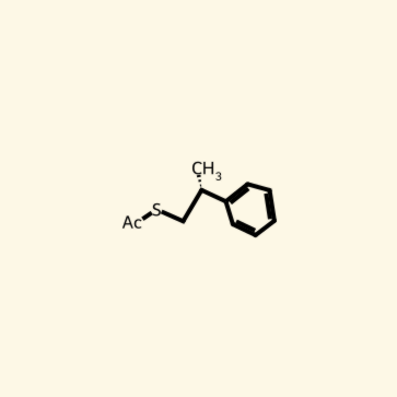 CC(=O)SC[C@H](C)c1ccccc1